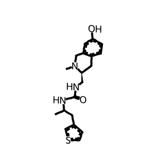 CC(Cc1ccsc1)NC(=O)NC[C@@H]1Cc2ccc(O)cc2CN1C